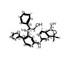 CC1(C)OB(O)c2cnc(Nc3cc(N[C@H](CO)c4ccccc4)c(-c4nnco4)cn3)nc21